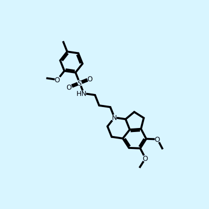 COc1cc(C)ccc1S(=O)(=O)NCCCN1CCc2cc(OC)c(OC)c3c2C1CC3